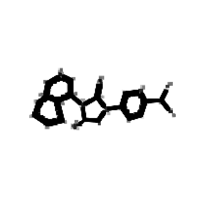 N#C[C@H]1CN(c2ccc(C(F)F)nc2)C(=O)N1c1cncc2ccccc12